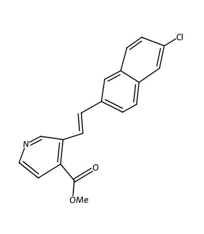 COC(=O)c1ccncc1/C=C/c1ccc2cc(Cl)ccc2c1